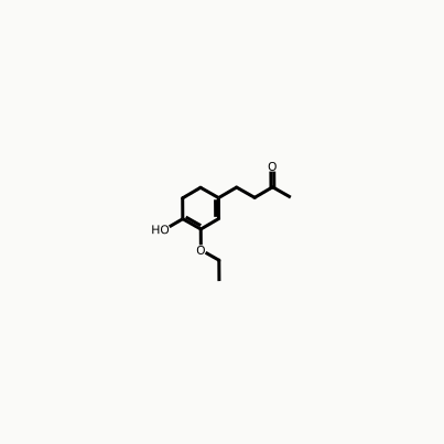 CCOC1=C(O)CCC(CCC(C)=O)=C1